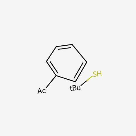 CC(=O)c1ccccc1.CC(C)(C)S